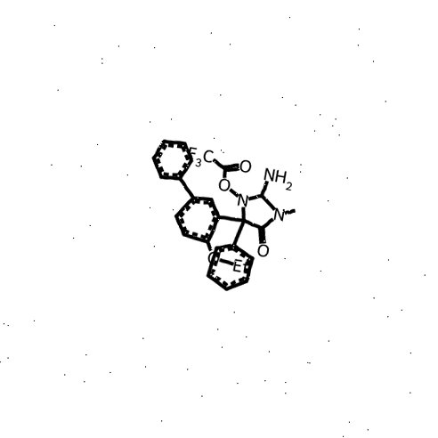 CCOc1ccc(-c2ccccc2)cc1C1(c2ccccc2)C(=O)N(C)C(N)N1OC(=O)C(F)(F)F